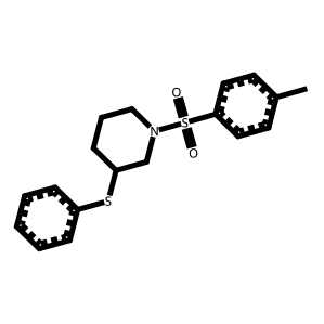 Cc1ccc(S(=O)(=O)N2CCCC(Sc3ccccc3)C2)cc1